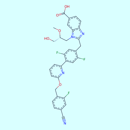 CO[C@@H](CO)Cn1c(Cc2cc(F)c(-c3cccc(OCc4ccc(C#N)cc4F)n3)cc2F)nc2ccc(C(=O)O)cc21